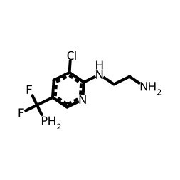 NCCNc1ncc(C(F)(F)P)cc1Cl